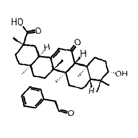 CC1(C)[C@@H](O)CC[C@]2(C)[C@H]3C(=O)C=C4[C@@H]5C[C@@](C)(C(=O)O)CC[C@]5(C)CC[C@@]4(C)[C@]3(C)CC[C@@H]12.O=CCc1ccccc1